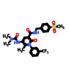 Cc1c(NC(=O)N(C)C)cc(C(=O)NCc2ccc(S(C)(=O)=O)cc2)c(=O)n1-c1cccc(C(F)(F)F)c1